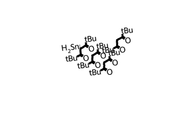 CC(C)(C)C(=O)CC(=O)C(C)(C)C.CC(C)(C)C(=O)CC(=O)C(C)(C)C.CC(C)(C)C(=O)CC(=O)C(C)(C)C.CC(C)(C)C(=O)CC(=O)C(C)(C)C.[SnH2]